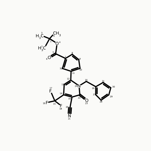 CC(C)(C)OC(=O)c1cccc(-c2cc(C(F)(F)F)c(C#N)c(=O)n2Cc2ccccc2)c1